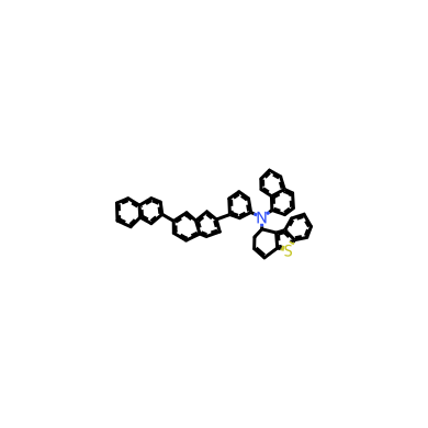 C1=Cc2sc3ccccc3c2C(N(c2cccc(-c3ccc4ccc(-c5ccc6ccccc6c5)cc4c3)c2)c2cccc3ccccc23)C1